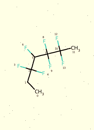 CCC(F)(F)C(F)C(F)(F)C(C)(F)F